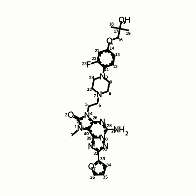 Cn1c(=O)n(CCN2CCN(c3ccc(OCC(C)(C)O)cc3F)CC2)c2nc(N)n3nc(-c4ccco4)nc3c21